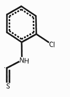 S=[C]Nc1ccccc1Cl